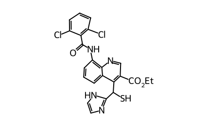 CCOC(=O)c1cnc2c(NC(=O)c3c(Cl)cccc3Cl)cccc2c1C(S)c1ncc[nH]1